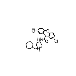 C[N@+]1(CC2CCCCCC2)CC[C@H](NC(=O)C2c3cc(Cl)ccc3Oc3ccc(Cl)cc32)CC1.[I-]